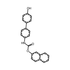 O=C(Nc1ccc(-c2ccc(O)cc2)cc1)Oc1ccc2ccccc2c1